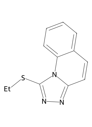 CCSc1nnc2ccc3ccccc3n12